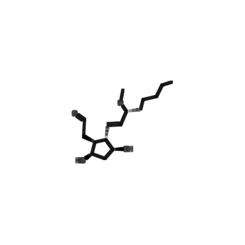 CCCCC[C@H](C=C[C@H]1[C@H](CC=O)[C@H](O)C[C@@H]1O)OC